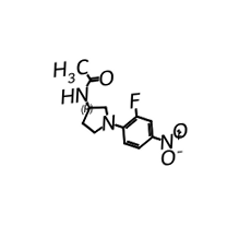 CC(=O)N[C@@H]1CCN(c2ccc([N+](=O)[O-])cc2F)C1